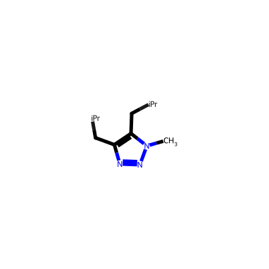 CC(C)Cc1nnn(C)c1CC(C)C